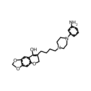 Nc1cccc(N2CCN(CCCCC3=C(O)c4cc5c(cc4OC3)OCO5)CC2)c1